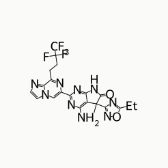 CCc1nc(C2(C)C(=O)Nc3nc(-c4cn5ccnc5c(CCC(F)(F)C(F)(F)F)n4)nc(N)c32)no1